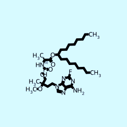 CCCCCCCCC(CCCCCCCC)OC(=O)[C@H](C)N[PH](=O)OC[C@](C)(CCn1cnc2c(N)nc(F)nc21)OC